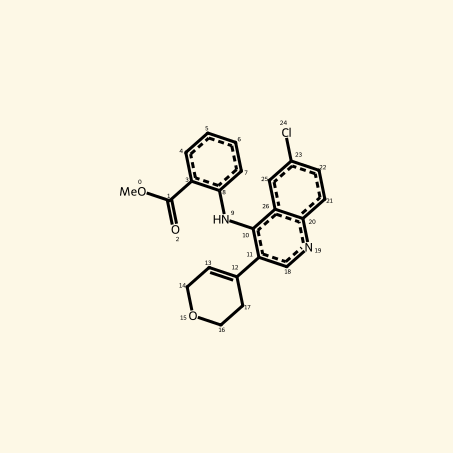 COC(=O)c1ccccc1Nc1c(C2=CCOCC2)cnc2ccc(Cl)cc12